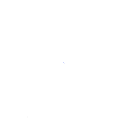 CCCCCCCCNC(=O)C=CC1=C(Cl)c2ccccc2CC1